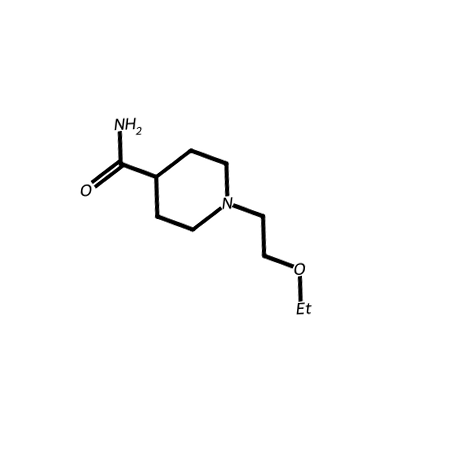 CCOCCN1CCC(C(N)=O)CC1